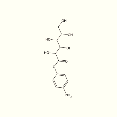 Nc1ccc(OC(=O)C(O)C(O)C(O)C(O)CO)cc1